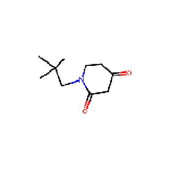 CC(C)(C)CN1CCC(=O)CC1=O